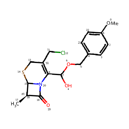 COc1ccc(COC(O)C2=C(CCl)CSC3[C@H](C)C(=O)N23)cc1